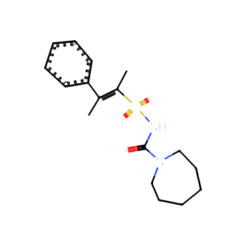 C/C(=C(/C)S(=O)(=O)NC(=O)N1CCCCCC1)c1ccccc1